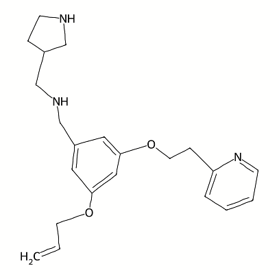 C=CCOc1cc(CNCC2CCNC2)cc(OCCc2ccccn2)c1